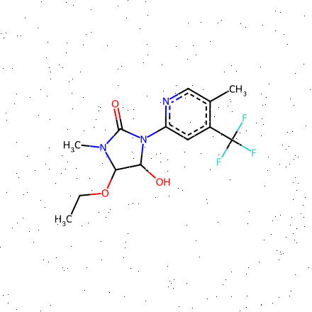 CCOC1C(O)N(c2cc(C(F)(F)F)c(C)cn2)C(=O)N1C